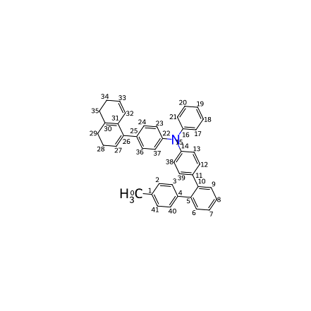 Cc1ccc(-c2ccccc2-c2ccc(N(c3ccccc3)c3ccc(C4=CCCC5=C4C=CCC5)cc3)cc2)cc1